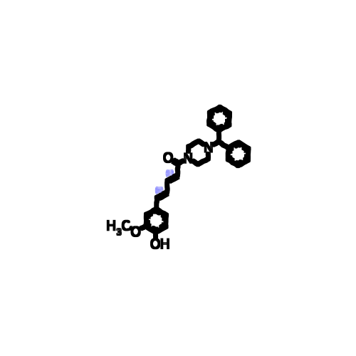 COc1cc(/C=C/C=C/C(=O)N2CCN(C(c3ccccc3)c3ccccc3)CC2)ccc1O